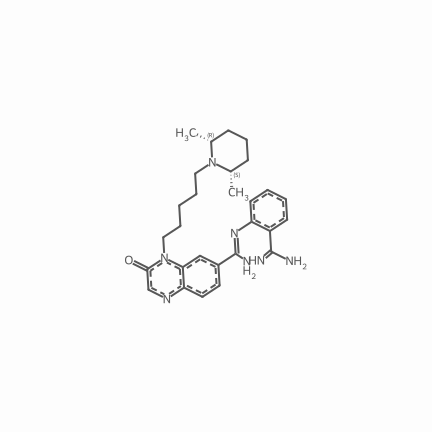 C[C@@H]1CCC[C@H](C)N1CCCCCn1c(=O)cnc2ccc(C(N)=Nc3ccccc3C(=N)N)cc21